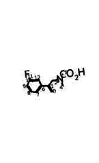 C=C(CN(C)C(=O)O)c1cccc(F)c1